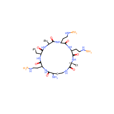 CCC(C)C1NC(=O)C(CC(C)C)NC(=O)C(CCNP)NC(=O)C(N)CCNC(=O)[C@H](CC)NC(=O)C(CCNP)NC(=O)C(CCNP)NC1=O